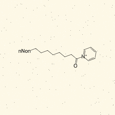 CCCCCCCCCCCCCCCCC(=O)[n+]1ccccc1